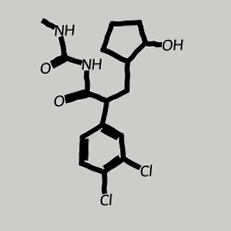 CNC(=O)NC(=O)C(CC1CCCC1O)c1ccc(Cl)c(Cl)c1